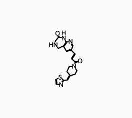 O=C1CNCc2cc(C=CC(=O)N3CCC(=Cc4nccs4)CC3)cnc2N1